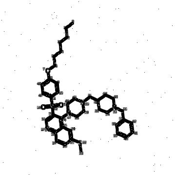 CCCCCCCOc1ccc(S(=O)(=O)c2cnc3ccc(SC)cc3c2N2CCN(CC3CCN(Cc4ccccc4)CC3)CC2)cc1